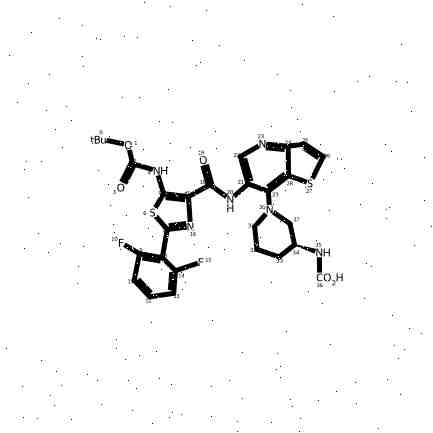 CC(C)(C)OC(=O)Nc1sc(-c2c(F)cccc2F)nc1C(=O)Nc1cnc2ccsc2c1N1CCC[C@H](NC(=O)O)C1